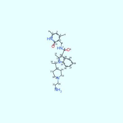 Cc1cc(C)c(CNC(=O)c2c(C)n(C(C)C3CCN(CCN)CC3)c3ccccc23)c(=O)[nH]1